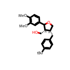 COc1ccc(C2OC[C@H](Cc3ccc(C(C)(C)C)cc3)[C@@H]2CO)cc1OC